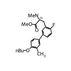 CCCCOc1ccc(-c2ccc(F)c(C[C@H](NC)C(=O)OC)c2)cc1C